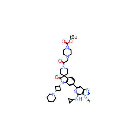 CC(C)n1cnc2cc(-c3ccc4c(c3)N([C@H]3C[C@@H](N5CCCCC5)C3)C(=O)C43CCN(C(=O)CN4CCN(C(=O)OC(C)(C)C)CC4)CC3)nc(NC3CC3)c21